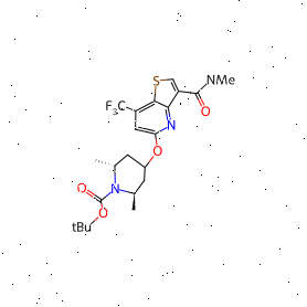 CNC(=O)c1csc2c(C(F)(F)F)cc(OC3C[C@@H](C)N(C(=O)OC(C)(C)C)[C@H](C)C3)nc12